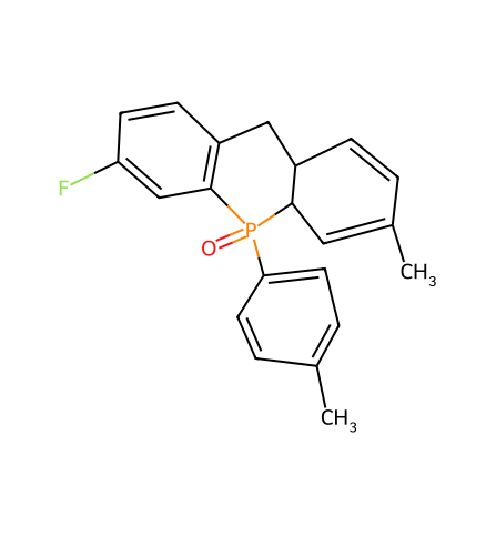 CC1=CC2C(C=C1)Cc1ccc(F)cc1P2(=O)c1ccc(C)cc1